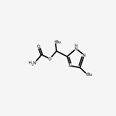 CC(C)(C)c1n[nH]c(C(OC(N)=O)C(C)(C)C)n1